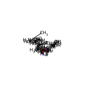 C/C=C1\NC(=O)[C@H]2CSSCC/C=C/[C@H](CC(=O)N[C@H](C(C)C)C(=O)N2)OC(=O)[C@H](C(C)C)NC1=O.CC(C)=CCNc1ncnc2c1ncn2[C@@H]1O[C@H](CO)[C@@H](O)[C@H]1O.CCCCCCCCCCCCCCC[C@H](O)[C@@H](N)CO.COc1ccc(C[C@H](N)C(=O)N[C@H]2[C@@H](O)[C@H](n3cnc4c(N(C)C)ncnc43)O[C@@H]2CO)cc1.NC(=O)c1n[nH]c([C@@H]2O[C@H](CO)[C@@H](O)[C@H]2O)c1O.[Cl-].[H+]